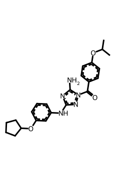 CC(C)Oc1ccc(C(=O)n2nc(Nc3cccc(OC4CCCC4)c3)nc2N)cc1